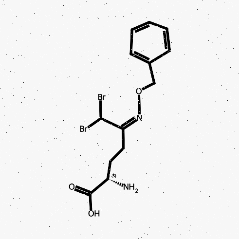 N[C@@H](CCC(=NOCc1ccccc1)C(Br)Br)C(=O)O